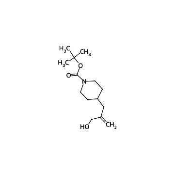 C=C(CO)CC1CCN(C(=O)OC(C)(C)C)CC1